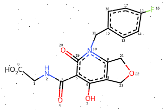 O=C(O)CNC(=O)c1c(O)c2c(n(Cc3ccc(F)cc3)c1=O)COC2